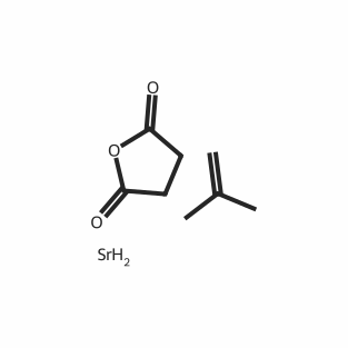 C=C(C)C.O=C1CCC(=O)O1.[SrH2]